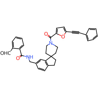 O=Cc1ccccc1C(=O)NCc1ccc2c(c1)C1(CC2)CCN(C(=O)c2ccc(C#Cc3ccccc3)o2)CC1